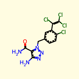 NC(=O)c1c(N)nnn1Cc1ccc(Cl)c(C(Cl)=C(Cl)Cl)c1